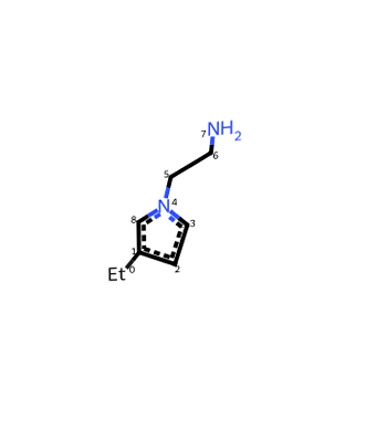 CCc1ccn(CCN)c1